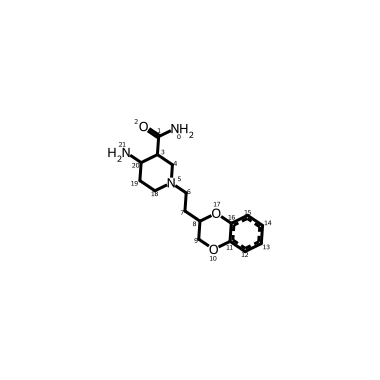 NC(=O)C1CN(CCC2COc3ccccc3O2)CCC1N